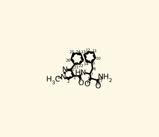 Cn1cc(C(=O)NC(Cc2ccccc2)C(=O)C(N)=O)c(-c2ccccc2)n1